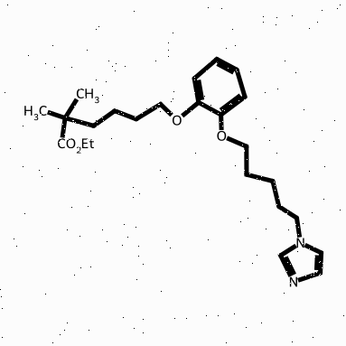 CCOC(=O)C(C)(C)CCCCOc1ccccc1OCCCCCn1ccnc1